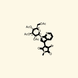 CC(=O)OC[C@H]1O[C@@H](n2cc(C3=C(Br)C(=O)N(C)C3=O)c3cccnc32)[C@H](OC(C)=O)[C@@H](OC(C)=O)[C@@H]1OC(C)=O